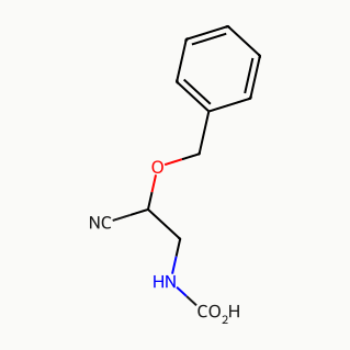 N#CC(CNC(=O)O)OCc1ccccc1